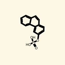 O=P(O)(O)Oc1ccc2ccc3ccccc3c2c1